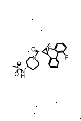 C[C@@H]1[C@@H](C(=O)N2CCC[C@H](NS(C)(=O)=O)CC2)[C@@H]1c1ccccc1-c1c(F)cccc1F